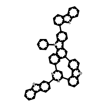 c1ccc(-c2cc(-c3cccc4oc5ccc(-c6ccc7c(c6)c6ccc(-c8cccc9c8sc8ccccc89)cc6n7-c6ccccc6)cc5c34)nc(-c3ccc4c(c3)oc3ccccc34)n2)cc1